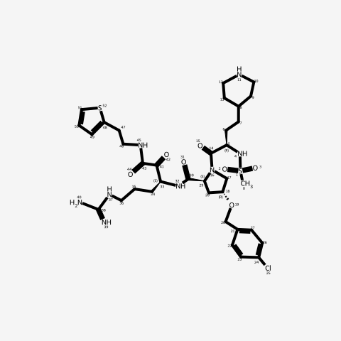 CS(=O)(=O)N[C@H](CCC1CCNCC1)C(=O)N1C[C@H](OCc2ccc(Cl)cc2)C[C@H]1C(=O)N[C@@H](CCCNC(=N)N)C(=O)C(=O)NCCc1cccs1